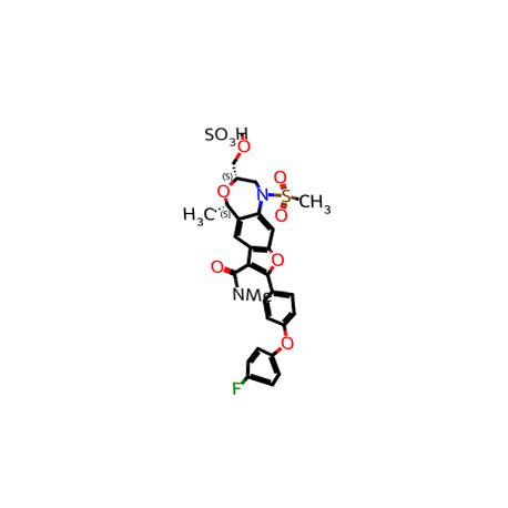 CNC(=O)c1c(-c2ccc(Oc3ccc(F)cc3)cc2)oc2cc3c(cc12)[C@H](C)O[C@H](COS(=O)(=O)O)CN3S(C)(=O)=O